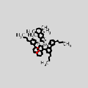 CCCCc1ccc(N2c3cc4ccccc4c4c3B(c3sc5cc6c(cc5c32)C(C)(C)CCC6(C)C)n2c3ccc(CCCC)cc3c3cc(CCCC)cc-4c32)c(-c2ccccc2)c1